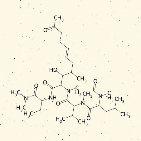 CCC(NC(=O)C(C(O)C(C)C/C=C/CCC(C)=O)N(C)C(=O)C(C(C)C)N(C)C(=O)C(CC(C)C)N(C)C=O)C(=O)N(C)C